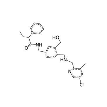 CCC(C(=O)NCc1ccc(CNCc2ncc(Cl)cc2C)c(CO)c1)c1ccccc1